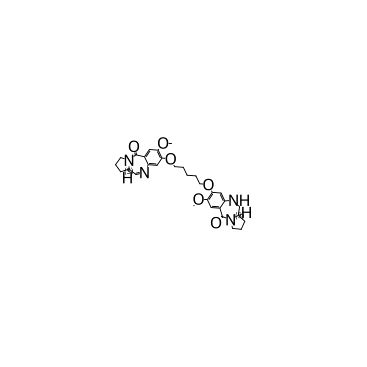 COc1cc2c(cc1OCCCCCOc1cc3c(cc1OC)C(=O)N1CCC[C@H]1CN3)N=C[C@@H]1CCCN1C2=O